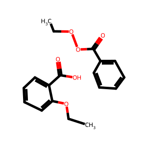 CCOOC(=O)c1ccccc1.CCOc1ccccc1C(=O)O